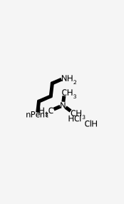 CCCCCCCCN.CN(C)C.Cl.Cl